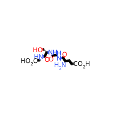 N[C@@H](CCC(=O)O)C(=O)NCC(=O)N[C@@H](CO)C(=O)NCC(=O)O